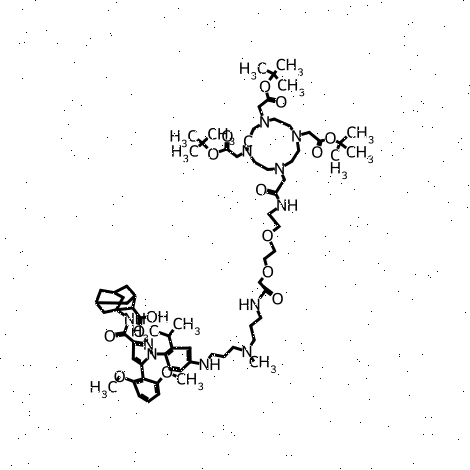 COc1cccc(OC)c1-c1cc(C(=O)NC23CC4CC(CC(C4)C2C(=O)O)C3)nn1-c1ccc(NCCCN(C)CCCNC(=O)COCCOCCNC(=O)CN2CCN(CC(=O)OC(C)(C)C)CCN(CC(=O)OC(C)(C)C)CCN(CC(=O)OC(C)(C)C)CC2)cc1C(C)C